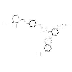 COc1ccc([C@@H]2CCc3cc(O)ccc3C2)c(NCCCc2ccc(CCN3CCCC(C)(C)C3)cc2)c1